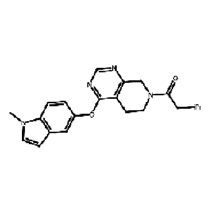 CC(C)CC(=O)N1CCc2c(ncnc2Oc2ccc3c(ccn3C)c2)C1